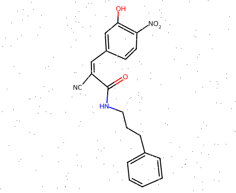 N#C/C(=C/c1ccc([N+](=O)[O-])c(O)c1)C(=O)NCCCc1ccccc1